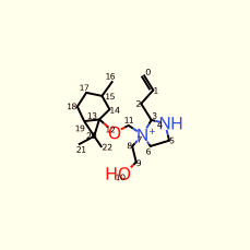 C=CCC1NCC[N+]1(CCO)COC12CC(C)CCC1C2(C)C